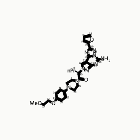 CCC[C@H](C(=O)N1CCN(c2ccc(OCCOC)cc2)CC1)n1cc2c(nc(N)n3nc(-c4ccco4)nc23)n1